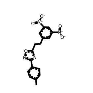 Cc1ccc(-c2noc(CCc3cc([N+](=O)[O-])cc([N+](=O)[O-])c3)n2)cc1